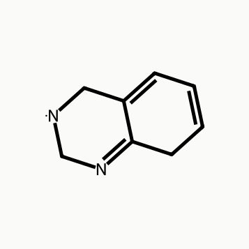 C1=CCC2=NC[N]CC2=C1